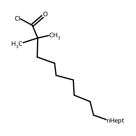 CCCCCCCCCCCCCCC(C)(C)C(=O)Cl